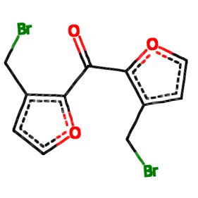 O=C(c1occc1CBr)c1occc1CBr